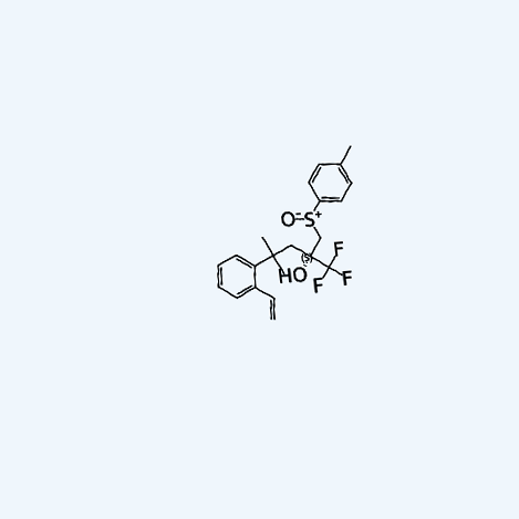 C=Cc1ccccc1C(C)(C)C[C@@](O)(C[S+]([O-])c1ccc(C)cc1)C(F)(F)F